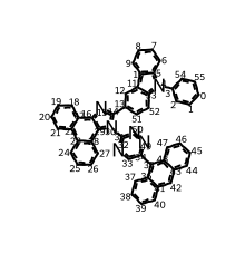 c1ccc(-n2c3ccccc3c3cc(-c4nc5c6ccccc6c6ccccc6c5n4-c4ncc(-c5c6ccccc6cc6ccccc56)nn4)ccc32)cc1